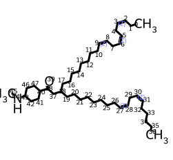 CC/C=C\C/C=C\C/C=C\CCCCCCCCC(CCCCCCCC/C=C\C/C=C\CCCCC)CC(=O)C1CCC(NC)CC1